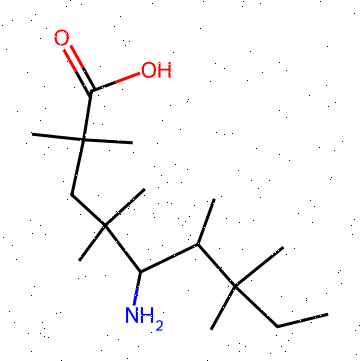 CCC(C)(C)C(C)C(N)C(C)(C)CC(C)(C)C(=O)O